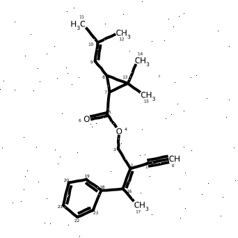 C#CC(COC(=O)C1C(C=C(C)C)C1(C)C)=C(C)c1ccccc1